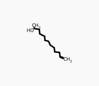 C=CCCCCCCCCCC(C)O